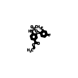 CCOC(=O)c1ccc(NS(C)(=O)=O)c(Oc2ccc(F)cc2F)c1